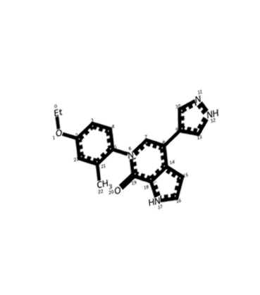 CCOc1ccc(-n2cc(-c3cn[nH]c3)c3cc[nH]c3c2=O)c(C)c1